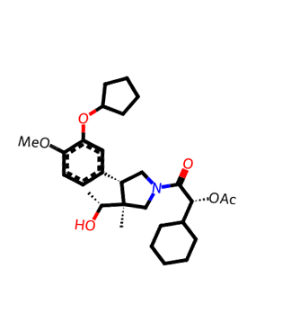 COc1ccc([C@@H]2CN(C(=O)[C@H](OC(C)=O)C3CCCCC3)C[C@@]2(C)[C@@H](C)O)cc1OC1CCCC1